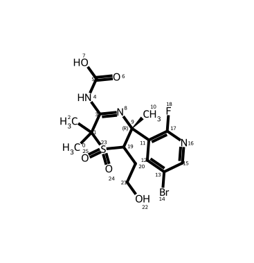 CC1(C)C(NC(=O)O)=N[C@](C)(c2cc(Br)cnc2F)C(CCO)S1(=O)=O